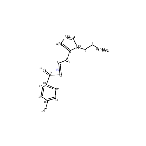 COCCn1cnnc1S/C=C/C(=O)c1ccc(F)cc1